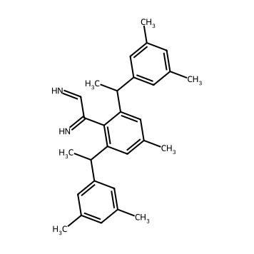 Cc1cc(C)cc(C(C)c2cc(C)cc(C(C)c3cc(C)cc(C)c3)c2C(=N)C=N)c1